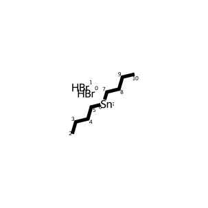 Br.Br.CCC[CH2][Sn][CH2]CCC